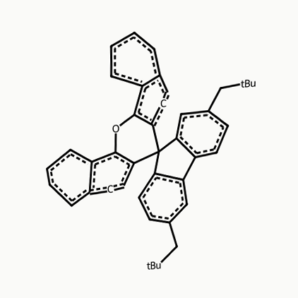 CC(C)(C)Cc1ccc2c(c1)-c1ccc(CC(C)(C)C)cc1C21c2ccc3ccccc3c2Oc2c1ccc1ccccc21